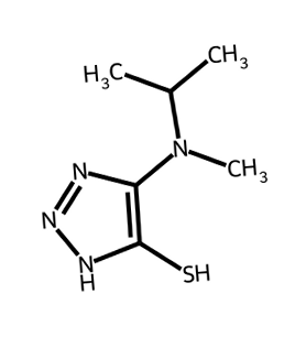 CC(C)N(C)c1nn[nH]c1S